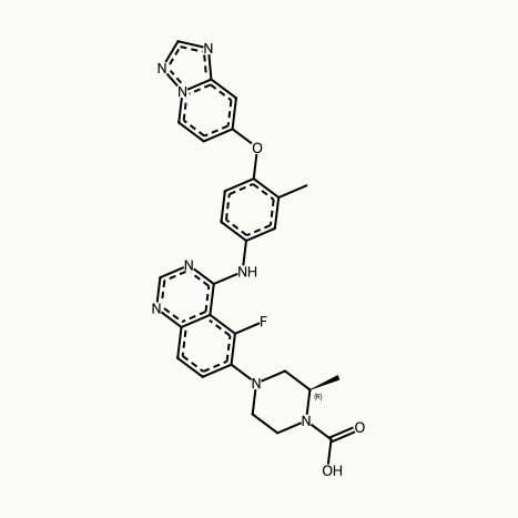 Cc1cc(Nc2ncnc3ccc(N4CCN(C(=O)O)[C@H](C)C4)c(F)c23)ccc1Oc1ccn2ncnc2c1